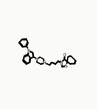 O=C1N(CCCCN2CCN(c3cn(-c4ccccc4)c4ccccc34)CC2)CSC12CCCCC2